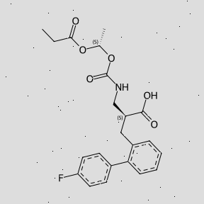 CCC(=O)O[C@H](C)OC(=O)NC[C@H](Cc1ccccc1-c1ccc(F)cc1)C(=O)O